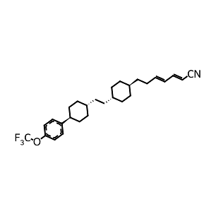 N#CC=CC=CCC[C@H]1CC[C@H](CC[C@H]2CC[C@H](c3ccc(OC(F)(F)F)cc3)CC2)CC1